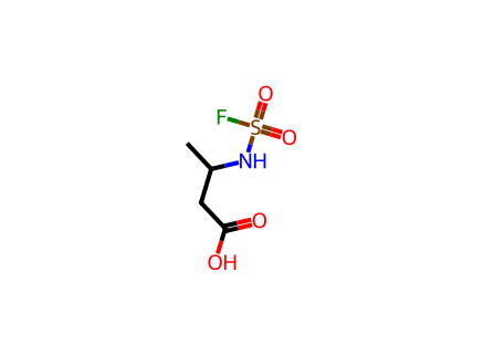 CC(CC(=O)O)NS(=O)(=O)F